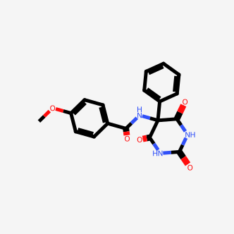 COc1ccc(C(=O)NC2(c3ccccc3)C(=O)NC(=O)NC2=O)cc1